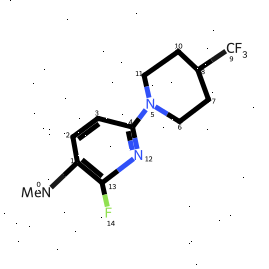 CNc1ccc(N2CCC(C(F)(F)F)CC2)nc1F